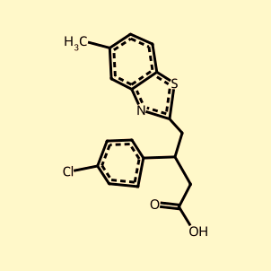 Cc1ccc2sc(CC(CC(=O)O)c3ccc(Cl)cc3)nc2c1